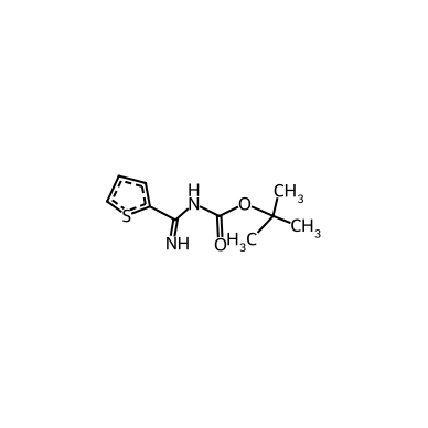 CC(C)(C)OC(=O)NC(=N)c1cccs1